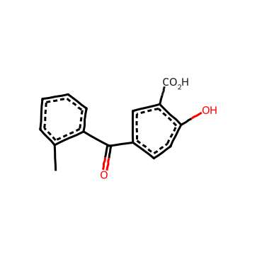 Cc1ccccc1C(=O)c1ccc(O)c(C(=O)O)c1